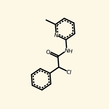 Cc1cccc(NC(=O)C(Cl)c2ccccc2)n1